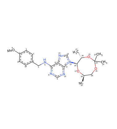 COc1ccc(CNc2ncnc3c2ncn3[C@@H]2O[C@H](C#N)COC(C)(C)O[C@H]2C)cc1